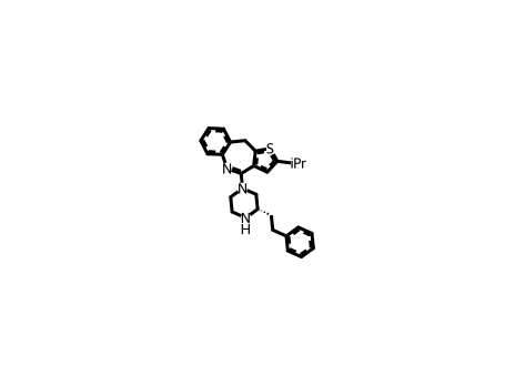 CC(C)c1cc2c(s1)Cc1ccccc1N=C2N1CCN[C@@H](CCc2ccccc2)C1